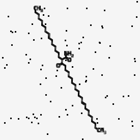 CCCCCCCCC=CCCCCCCCCCCCC(=O)C(CCCCCCC=CCCCCCCCC)C(N)=O